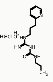 CCCNC(=O)NC(=N)NCCCc1ccccn1.Cl.Cl.O